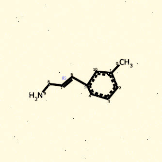 Cc1cccc(/C=C/CN)c1